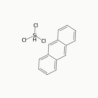 Cl[SiH](Cl)Cl.c1ccc2cc3ccccc3cc2c1